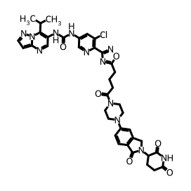 CC(C)c1c(NC(=O)Nc2cnc(-c3noc(CCCC(=O)N4CCN(c5ccc6c(c5)CN(C5CCC(=O)NC5=O)C6=O)CC4)n3)c(Cl)c2)cnc2ccnn12